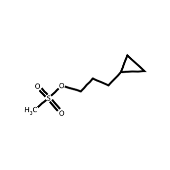 CS(=O)(=O)OCCCC1CC1